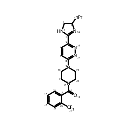 CCCC1CNC(c2ccc(N3CCN(C(=O)c4ccccc4C(F)(F)F)CC3)nn2)=N1